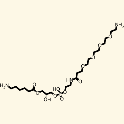 NCCCCCC(=O)OC[C@@H](O)COP(=O)(O)OCCNC(=O)CCOCCOCCOCCOCCN